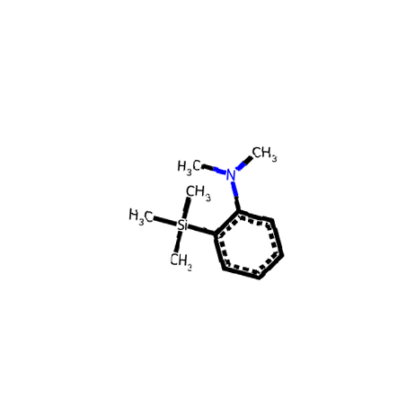 CN(C)c1ccccc1[Si](C)(C)C